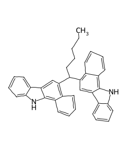 CCCCCC(c1cc2c3ccccc3[nH]c2c2ccccc12)c1cc2c3ccccc3[nH]c2c2ccccc12